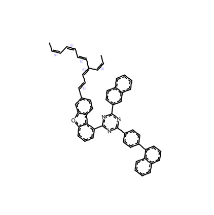 C/C=C\C=C/C=C/C(/C=C\C)=C/C=C/c1ccc2c(c1)oc1cccc(-c3nc(-c4ccc(-c5cccc6ccccc56)cc4)nc(-c4ccc5ccccc5c4)n3)c12